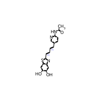 CC(=O)Nc1ccc(/C=C/C=C/c2nc3cc(O)c(O)cc3s2)cn1